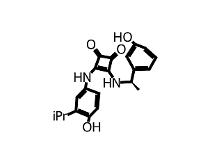 CC(C)c1cc(Nc2c(N[C@H](C)c3cccc(O)c3)c(=O)c2=O)ccc1O